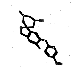 COc1ccc(Cc2cc3c(cc2C)CO[C@@]32CC(O)CC(C)O2)cc1